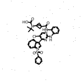 CC(C)(C)N(C(=O)O)C12CC(C(=O)Nc3ccccc3Nc3ncc(Cl)c(-c4cn(S(=O)(=O)c5ccccc5)c5ccccc45)n3)(C1)C2